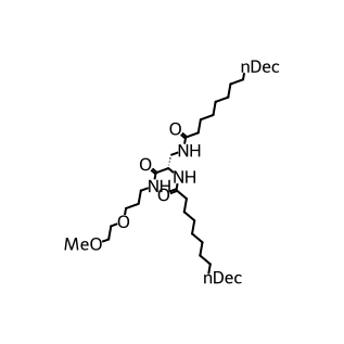 CCCCCCCCCCCCCCCCCC(=O)NC[C@H](NC(=O)CCCCCCCCCCCCCCCCC)C(=O)NCCCOCCOC